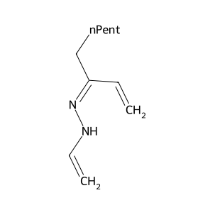 C=CN/N=C(\C=C)CCCCCC